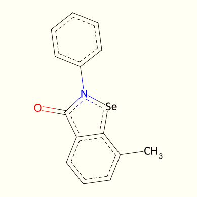 Cc1cccc2c(=O)n(-c3ccccc3)[se]c12